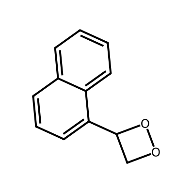 c1ccc2c(C3COO3)cccc2c1